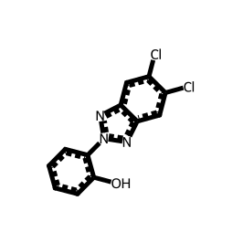 Oc1ccccc1-n1nc2cc(Cl)c(Cl)cc2n1